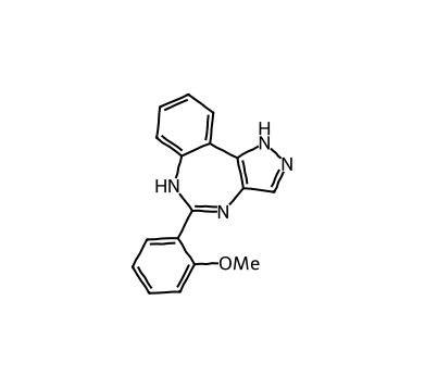 COc1ccccc1C1=Nc2cn[nH]c2-c2ccccc2N1